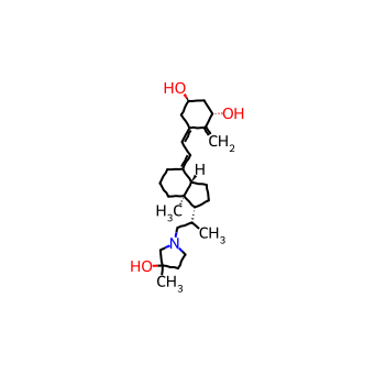 C=C1C(=CC=C2CCC[C@]3(C)[C@@H](C(C)CN4CCC(C)(O)C4)CC[C@@H]23)C[C@@H](O)C[C@@H]1O